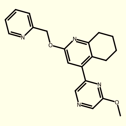 COc1cncc(-c2cc(OCc3ccccn3)nc3c2CCCC3)n1